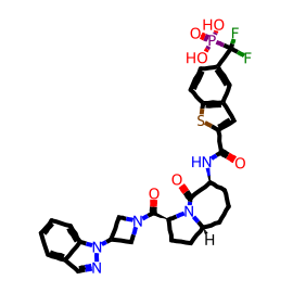 O=C(N[C@H]1CCC[C@H]2CC[C@@H](C(=O)N3CC(n4ncc5ccccc54)C3)N2C1=O)c1cc2cc(C(F)(F)P(=O)(O)O)ccc2s1